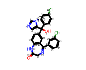 Cn1cncc1C(O)(c1ccc(Cl)cc1)c1ccc2c(c1)C(c1cccc(Cl)c1)=NCC(=O)N2